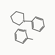 Cc1ccccn1.c1ccc(N2CCCCC2)cc1